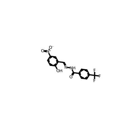 O=C(N/N=C/c1cc([N+](=O)[O-])ccc1O)c1ccc(C(F)(F)F)cc1